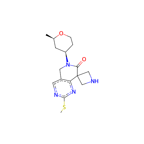 CSc1ncc2c(n1)C1(CNC1)C(=O)N([C@@H]1CCO[C@H](C)C1)C2